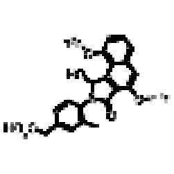 CCCOc1cc2cccc(OCCC)c2c2c1C(=O)N(c1ccc(CC(=O)O)cc1C)C2O